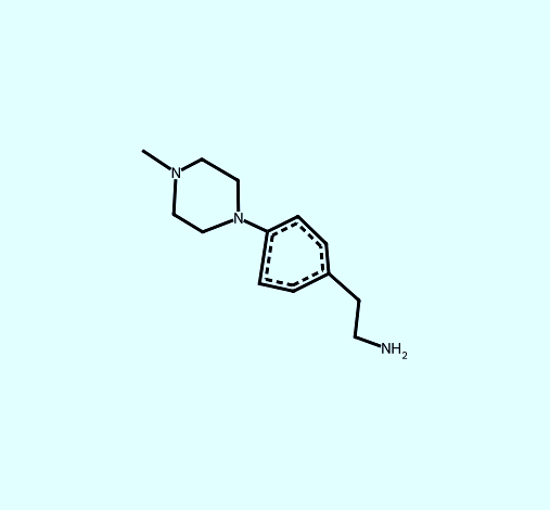 CN1CCN(c2ccc(CCN)cc2)CC1